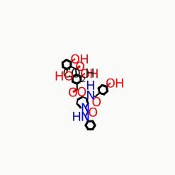 O=C(NC1=CN(C(=O)Nc2ccccc2)C=CC=C1OC(=O)c1cc(O)c(C(=O)c2c(O)cccc2C(=O)O)c(O)c1)c1ccc(O)cc1